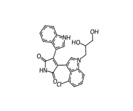 O=C1NC(=O)C(c2cn(CC(O)CO)c3cccc(Cl)c23)=C1c1c[nH]c2ccccc12